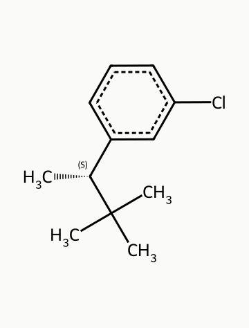 C[C@H](c1cccc(Cl)c1)C(C)(C)C